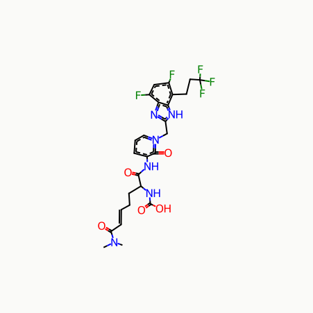 CN(C)C(=O)C=CCCC(NC(=O)O)C(=O)Nc1cccn(Cc2nc3c(F)cc(F)c(CCC(F)(F)F)c3[nH]2)c1=O